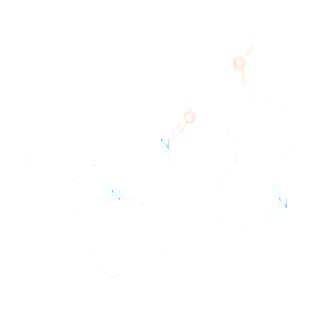 C=CC1CN2C1CCCCC2[C@H](N=O)c1ccnc2ccc(OC)cc12